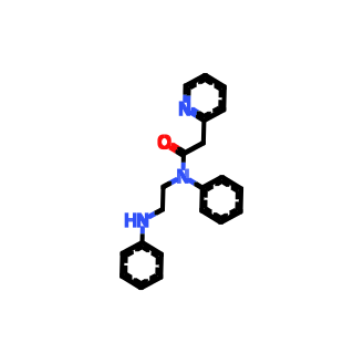 O=C(Cc1ccccn1)N(CCNc1ccccc1)c1ccccc1